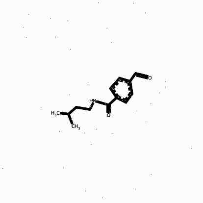 CC(C)CCNC(=O)c1ccc(C=O)cc1